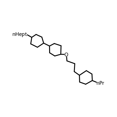 CCCCCCCC1CCC(C2CCC(OCCCC3CCC(CCC)CC3)CC2)CC1